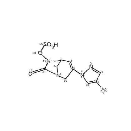 CC(=O)c1cnn(C2=CC3CN(C2)C(=O)N3OS(=O)(=O)O)c1